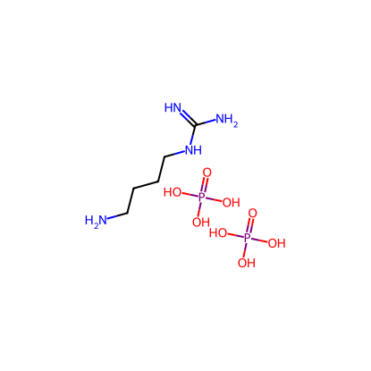 N=C(N)NCCCCN.O=P(O)(O)O.O=P(O)(O)O